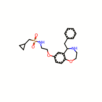 O=S(=O)(CC1CC1)NCCOc1ccc2c(c1)C(Cc1ccccc1)NCCO2